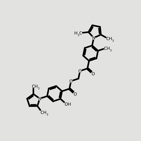 Cc1cc(C(=O)OCOC(=O)c2ccc(-n3c(C)ccc3C)cc2O)ccc1-n1c(C)ccc1C